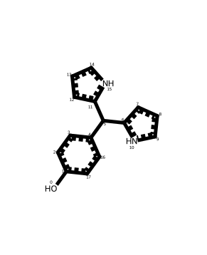 Oc1ccc(C(c2ccc[nH]2)c2ccc[nH]2)cc1